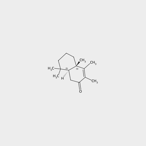 CC1=C(C)[C@@]2(C)CCCC(C)(C)[C@@H]2CC1=O